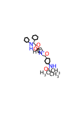 CC(C)(C)C(=O)Nc1ccc(C(=O)C[N+]23CCC(CC2)[C@@H](OC(=O)C(Nc2ccccc2)c2ccccc2)C3)cc1